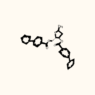 O=C(OC[C@@H]1SC(O)C[C@H]1OC(=O)c1ccc(-c2ccccc2)cc1)c1ccc(-c2ccccc2)cc1